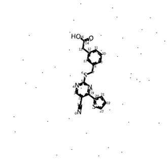 N#Cc1cnc(SCc2cccc(CC(=O)O)c2)nc1-c1cccs1